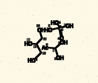 CC(=O)C(O)O.O=P(O)(O)O.OCC(O)CO